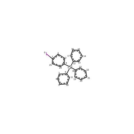 Ic1ccc([Si](c2ccccc2)(c2ccccc2)c2ccccc2)cc1